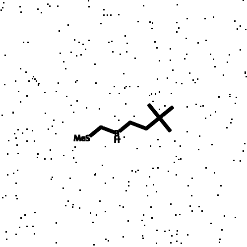 CSCBCCC(C)(C)C